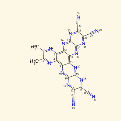 Cc1nc2c(nc1C)c1nc3nc(C#N)c(C#N)nc3nc1c1nc3nc(C#N)c(C#N)nc3nc21